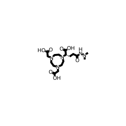 CN(C)NC(=O)CC[C@@H](C(=O)O)N1CCN(CC(=O)O)CCN(CC(=O)O)CC1